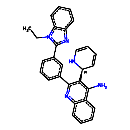 CCn1c(-c2cccc(-c3nc4ccccc4c(N)c3[C@@H]3C=CC=CN3)c2)nc2ccccc21